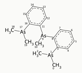 C[As](C)c1ccccc1[As](C)c1ccccc1[As](C)C